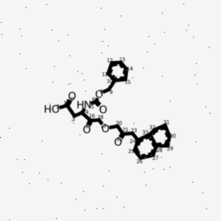 O=C(O)CC(NC(=O)OCc1ccccc1)C(=O)COCC(=O)Cc1cccc2ccccc12